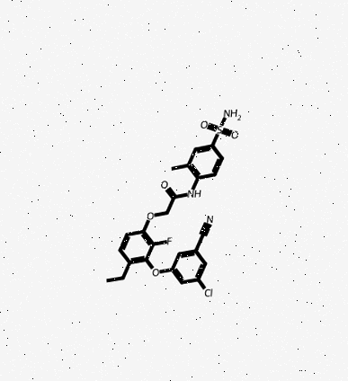 CCc1ccc(OCC(=O)Nc2ccc(S(N)(=O)=O)cc2C)c(F)c1Oc1cc(Cl)cc(C#N)c1